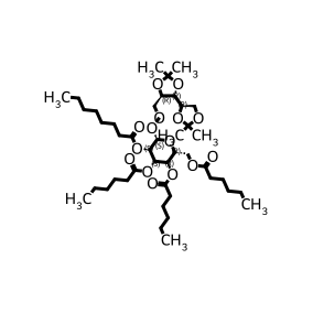 CCCCCCCC(=O)O[C@@H]1[C@H](OOC[C@H]2OC(C)(C)O[C@@H]2[C@H]2COC(C)(C)O2)O[C@H](COC(=O)CCCCC)[C@@H](OC(=O)CCCCC)[C@@H]1OC(=O)CCCCC